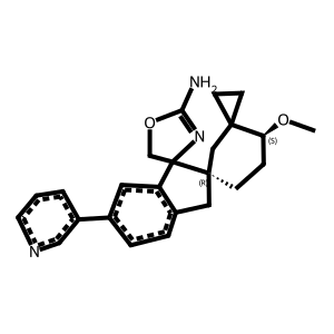 CO[C@H]1CC[C@@]2(Cc3ccc(-c4cccnc4)cc3C23COC(N)=N3)CC12CC2